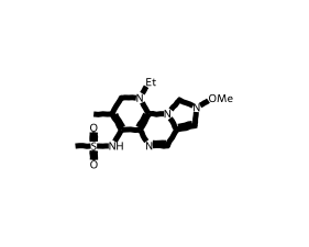 CCN1CC(C)=C(NS(C)(=O)=O)C2=C1N1CN(OC)C=C1C=N2